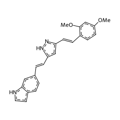 COc1ccc(C=Cc2cc(C=Cc3ccc4cc[nH]c4c3)[nH]n2)c(OC)c1